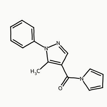 Cc1c(C(=O)n2cccc2)cnn1-c1ccccc1